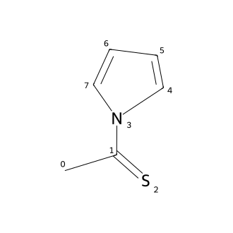 CC(=S)n1cccc1